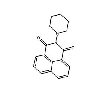 O=C1c2cccc3cccc(c23)C(=O)N1N1CCCCC1